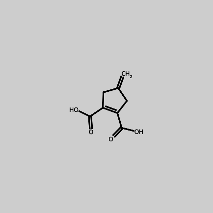 C=C1CC(C(=O)O)=C(C(=O)O)C1